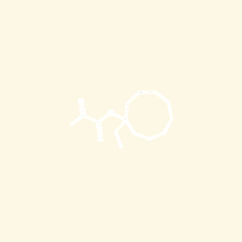 C=C(C)C(=O)OC1(CC)CCCCCCCC1